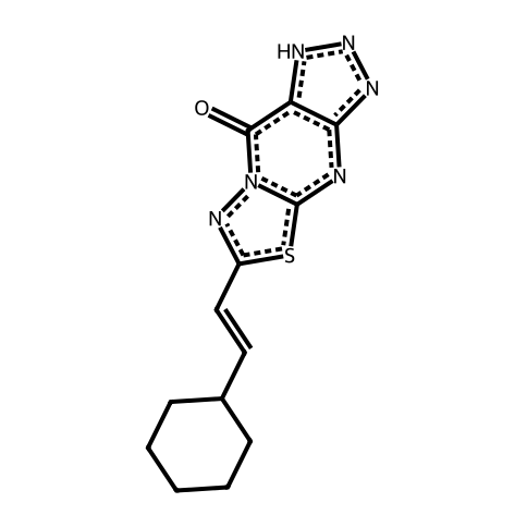 O=c1c2[nH]nnc2nc2sc(/C=C/C3CCCCC3)nn12